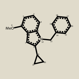 COc1cccc2c1cc(C1CC1)n2Cc1ccccc1